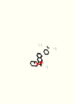 CC(C)[C@H]1CC[C@H](Oc2cccc3cc(CN4C5CCCC4CC(C(=O)O)C5)ccc23)CC1